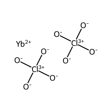 [O-][Cl+3]([O-])([O-])[O-].[O-][Cl+3]([O-])([O-])[O-].[Yb+2]